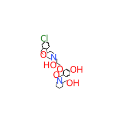 O=C(c1ccc(O)cc1OC[C@H](O)CN1CCC2(CC1)OCc1cc(Cl)ccc12)N1CCCCC1CO